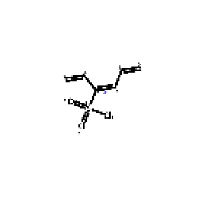 C=C/C=C(\C=C)S(=O)(=O)Cl